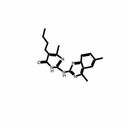 CCCCc1c(C)nc(Nc2nc(C)c3cc(C)ccc3n2)[nH]c1=O